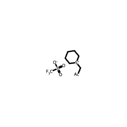 CC(=O)C[S+]1CCCCC1.O=S(=O)([O-])C(F)(F)F